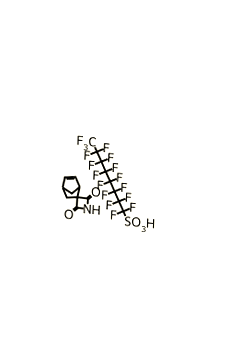 O=C1NC(=O)C12CC1C=CC2C1.O=S(=O)(O)C(F)(F)C(F)(F)C(F)(F)C(F)(F)C(F)(F)C(F)(F)C(F)(F)C(F)(F)F